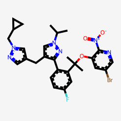 CC(C)n1cc(Cc2cnn(CC3CC3)c2)c(-c2ccc(F)cc2C(C)(C)Oc2cc(Br)cnc2[N+](=O)[O-])n1